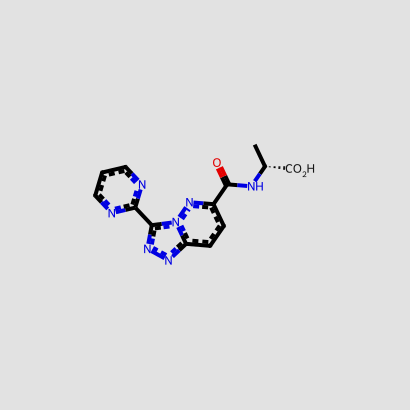 C[C@@H](NC(=O)c1ccc2nnc(-c3ncccn3)n2n1)C(=O)O